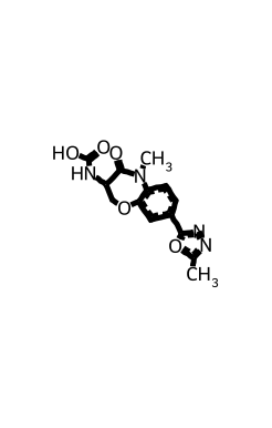 Cc1nnc(-c2ccc3c(c2)OCC(NC(=O)O)C(=O)N3C)o1